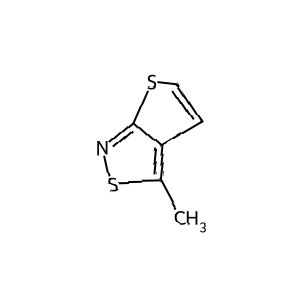 Cc1snc2sccc12